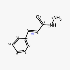 NNC(=O)/C=C/c1cc[c]cc1